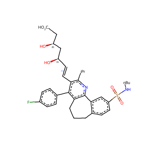 CCCCNS(=O)(=O)c1ccc2c(c1)-c1nc(C(C)C)c(/C=C/[C@@H](O)C[C@@H](O)CC(=O)O)c(-c3ccc(F)cc3)c1CCC2